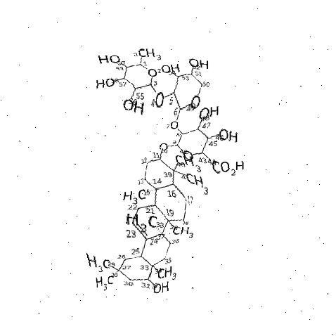 CC1OC(OC2C(OC3C(OC4CC[C@@]5(C)C(CCC6(C)C5CC=C5C7CC(C)(C)CC(O)C7(C)CC[C@@]56C)C4(C)C)OC(C(=O)O)C(O)C3O)OCC(O)C2O)C(O)C(O)C1O